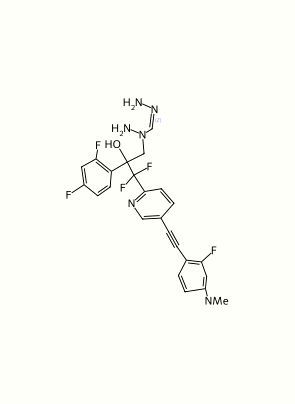 CNc1ccc(C#Cc2ccc(C(F)(F)C(O)(CN(N)/C=N\N)c3ccc(F)cc3F)nc2)c(F)c1